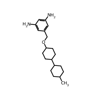 CC1CCC(C2CCC(OCc3cc(N)cc(N)c3)CC2)CC1